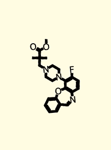 COC(=O)C(C)(C)CN1CCN(c2c(F)ccc3c2Oc2ccccc2C=N3)CC1